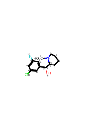 O=C(O)N1CCCC[C@H]1[C@H](O)c1cc(F)cc(Cl)c1